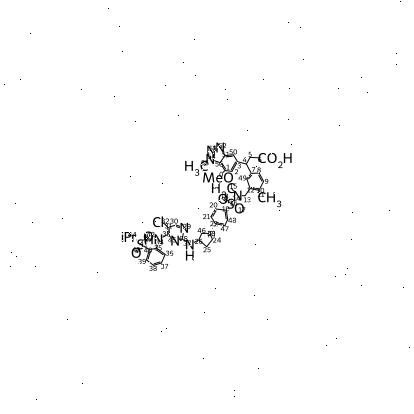 COc1cc(C(CC(=O)O)c2ccc(C)c(CN(C)S(=O)(=O)c3ccc([C@@H]4CCC(Nc5ncc(Cl)c(Nc6ccccc6S(=O)(=O)C(C)C)n5)C4)cc3)c2)cc2nnn(C)c12